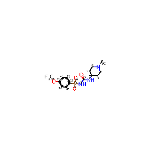 CC(=O)N1CCC(NC(=O)NS(=O)(=O)c2ccc(OC(F)(F)F)cc2)CC1